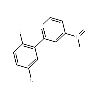 Nc1ccc(N)c(-c2cc([N+](=O)[O-])ccn2)c1